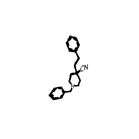 N#CC1(CCc2ccccc2)CCN(Cc2ccccc2)CC1